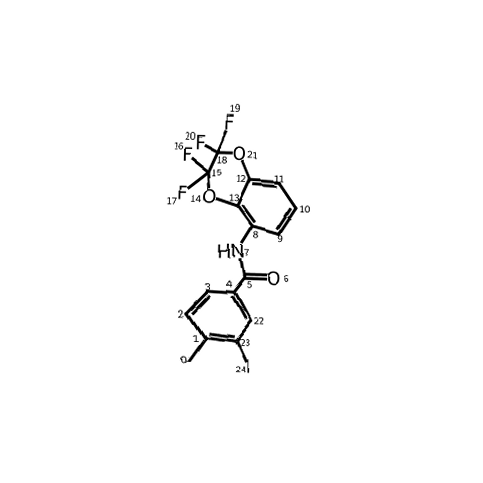 Cc1ccc(C(=O)Nc2cccc3c2OC(F)(F)C(F)(F)O3)cc1I